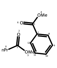 CCCC(=O)OC.COC(=O)c1ccccc1